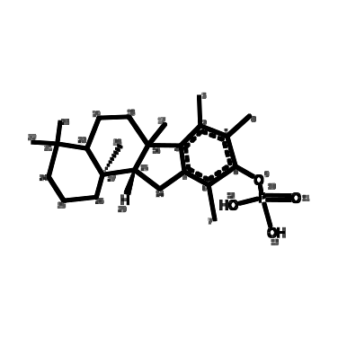 Cc1c(C)c2c(c(C)c1OP(=O)(O)O)C[C@H]1C2(C)CCC2C(C)(C)CCC[C@@]21C